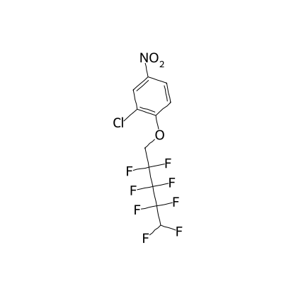 O=[N+]([O-])c1ccc(OCC(F)(F)C(F)(F)C(F)(F)C(F)F)c(Cl)c1